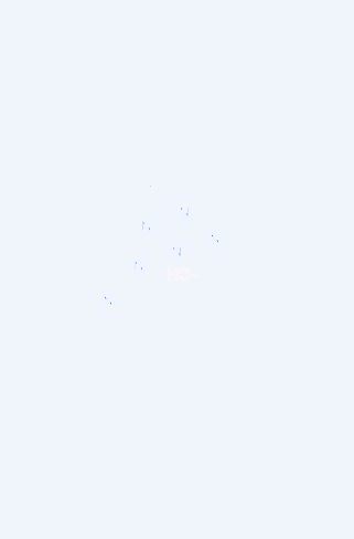 OC[C@H]1Cc2ccccc2CN1c1nc(Cl)nc(N2CCN(C3CCCCC3)CC2)n1